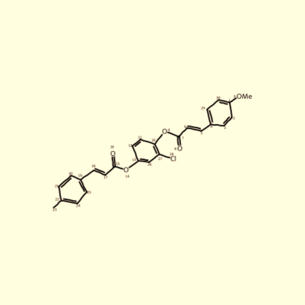 COc1ccc(/C=C/C(=O)Oc2ccc(OC(=O)/C=C/c3ccc(C)cc3)cc2Cl)cc1